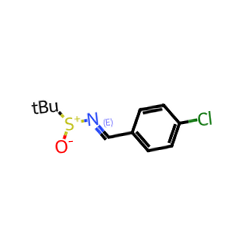 CC(C)(C)[S+]([O-])/N=C/c1ccc(Cl)cc1